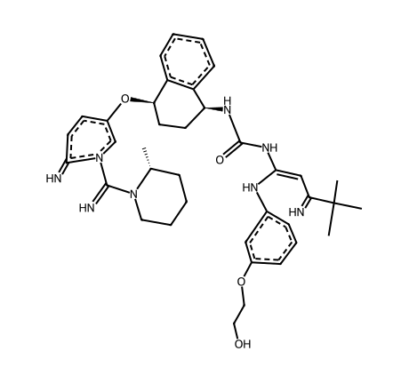 C[C@@H]1CCCCN1C(=N)n1cc(O[C@@H]2CC[C@H](NC(=O)N/C(=C/C(=N)C(C)(C)C)Nc3cccc(OCCO)c3)c3ccccc32)ccc1=N